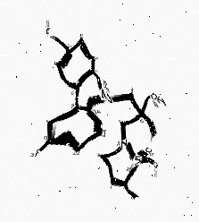 CC1CCN(CC(C)(O)Cn2c3ccc(F)cc3c3cc(F)ccc32)S1(=O)=O